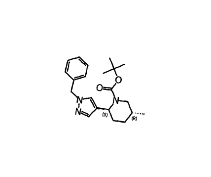 C[C@@H]1CC[C@@H](c2cnn(Cc3ccccc3)c2)N(C(=O)OC(C)(C)C)C1